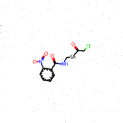 O=[C](CCl)[Sn][CH2]NC(=O)c1ccccc1[N+](=O)[O-]